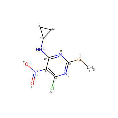 CSc1nc(Cl)c([N+](=O)[O-])c(NC2CC2)n1